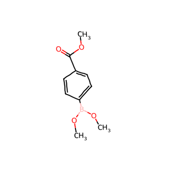 COB(OC)c1ccc(C(=O)OC)cc1